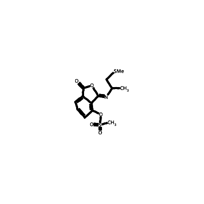 CSCC(C)N=C1OC(=O)c2cccc(OS(C)(=O)=O)c21